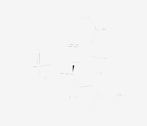 C=CCO.CC[N+](=O)[O-].O=C[C@H](O)[C@@H](O)[C@H](O)[C@H](O)COP(=O)(O)O